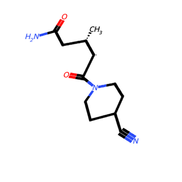 C[C@H]([CH]C(=O)N1CCC(C#N)CC1)CC(N)=O